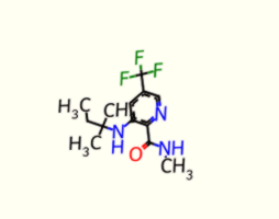 CCC(C)(C)Nc1cc(C(F)(F)F)cnc1C(=O)NC